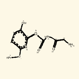 CCCOc1ccc(O)c(OC(=O)NC(=O)CN)n1